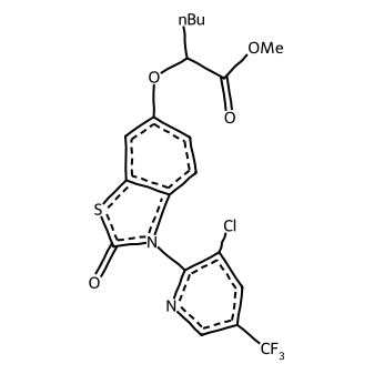 CCCCC(Oc1ccc2c(c1)sc(=O)n2-c1ncc(C(F)(F)F)cc1Cl)C(=O)OC